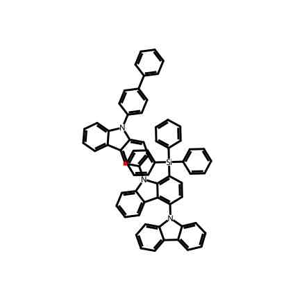 c1ccc(-c2ccc(-n3c4ccccc4c4cc(-n5c6ccccc6c6c(-n7c8ccccc8c8ccccc87)ccc([Si](c7ccccc7)(c7ccccc7)c7ccccc7)c65)ccc43)cc2)cc1